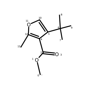 [CH2]OC(=O)c1c(C(C)(C)C)coc1C